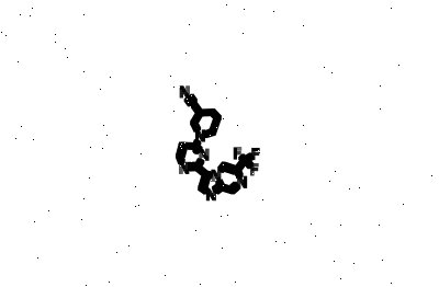 N#CC1CCCN(c2ccnc(-c3cnc4cnc(C(F)(F)F)cn34)n2)C1